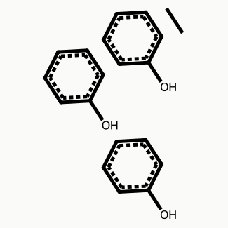 CC.Oc1ccccc1.Oc1ccccc1.Oc1ccccc1